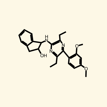 CCc1nc(-c2ccc(OC)cc2OC)c(CC)nc1NC1c2ccccc2CC1O